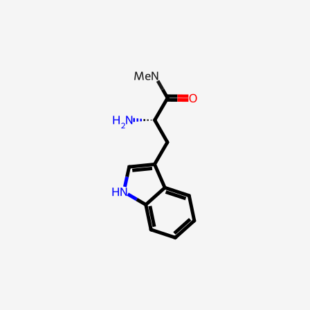 CNC(=O)[C@@H](N)Cc1c[nH]c2ccccc12